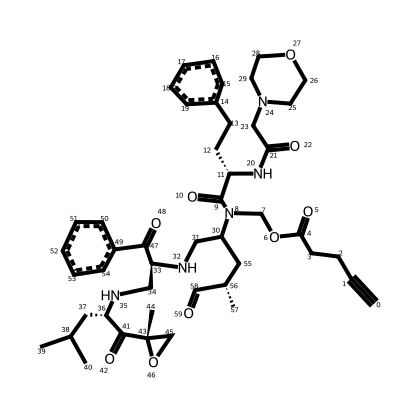 C#CCCC(=O)OCN(C(=O)[C@H](CCc1ccccc1)NC(=O)CN1CCOCC1)C(CN[C@@H](CN[C@@H](CC(C)C)C(=O)[C@]1(C)CO1)C(=O)c1ccccc1)C[C@H](C)C=O